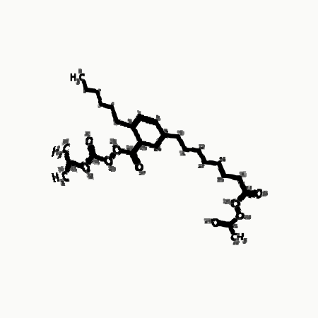 CCCCCCC1C=CC(CCCCCCCC(=O)OOC(C)=O)CC1C(=O)OOC(=O)OC(C)C